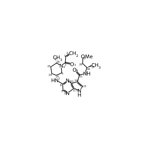 C=CC(=O)N1C[C@H](Nc2cnc3[nH]cc(C(=O)N[C@H](C)COC)c3n2)CC[C@@H]1C